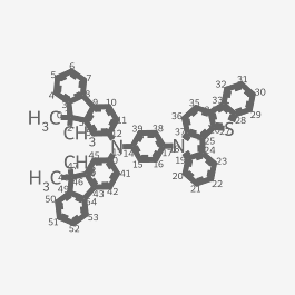 CC1(C)c2ccccc2-c2ccc(N(c3ccc(-n4c5ccccc5c5c6sc7ccccc7c6ccc54)cc3)c3ccc4c(c3)C(C)(C)c3ccccc3-4)cc21